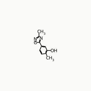 Cc1noc(-c2ccc(C)c(O)c2)n1